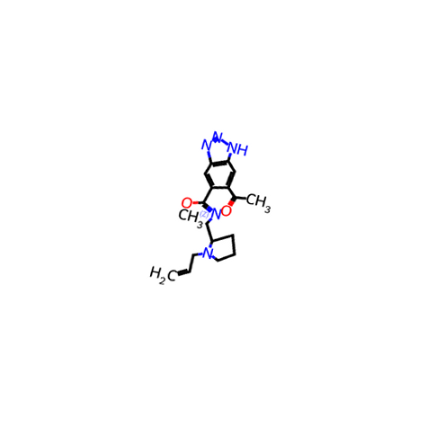 C=CCN1CCCC1C/N=C(\OC)c1cc2nn[nH]c2cc1C(C)=O